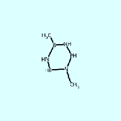 CB1NBN(C)BN1